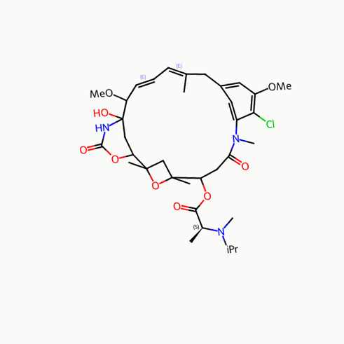 COc1cc2cc(c1Cl)N(C)C(=O)CC(OC(=O)[C@H](C)N(C)C(C)C)C1(C)CC(C)(O1)C1CC(O)(NC(=O)O1)C(OC)/C=C/C=C(\C)C2